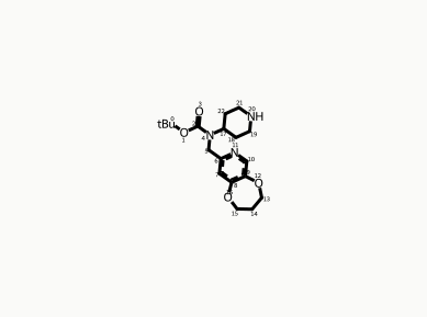 CC(C)(C)OC(=O)N(Cc1cc2c(cn1)OCCCO2)C1CCNCC1